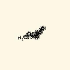 C=CC(=O)N1CCCC(NC(=O)c2sc3nccc4c3c2NC(=O)N4c2cccc(Oc3ccccc3)c2)C1